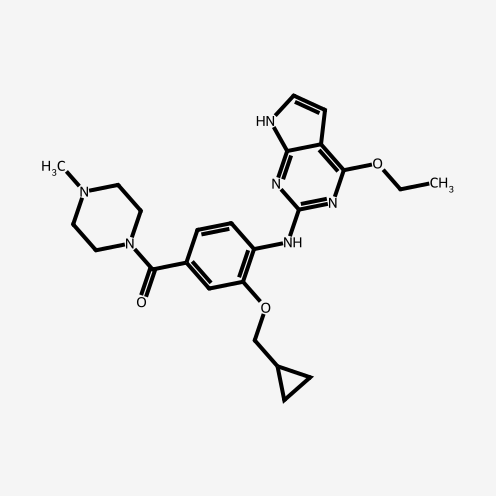 CCOc1nc(Nc2ccc(C(=O)N3CCN(C)CC3)cc2OCC2CC2)nc2[nH]ccc12